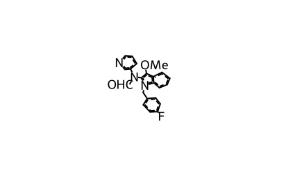 COc1c(N(C=O)c2cccnc2)n(Cc2ccc(F)cc2)c2ccccc12